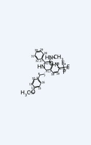 CNC(=O)[C@@H](N[C@@H](CCc1ccc(OC)cc1)c1ccc(C(F)(F)F)nc1)c1ccccc1